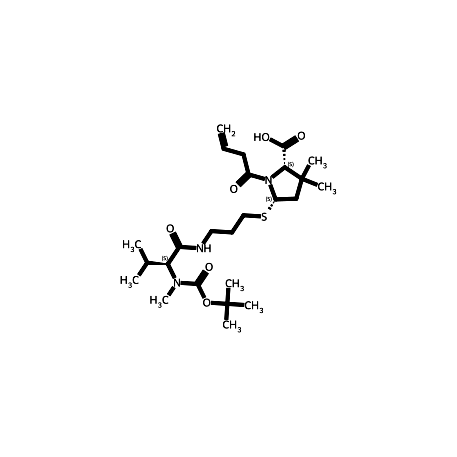 C=CCC(=O)N1[C@@H](SCCCNC(=O)[C@H](C(C)C)N(C)C(=O)OC(C)(C)C)CC(C)(C)[C@H]1C(=O)O